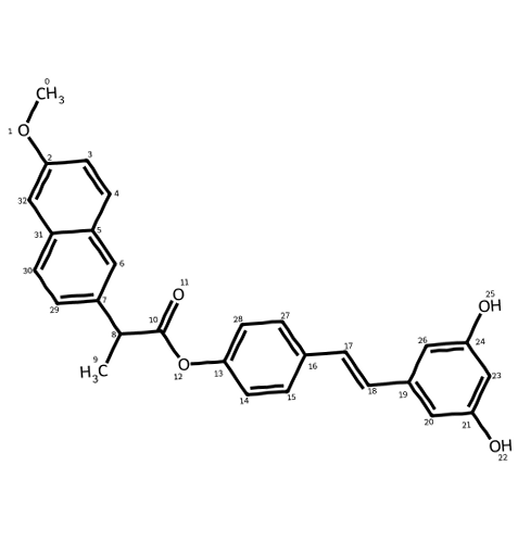 COc1ccc2cc(C(C)C(=O)Oc3ccc(/C=C/c4cc(O)cc(O)c4)cc3)ccc2c1